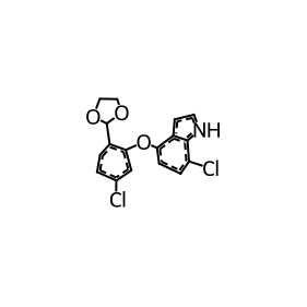 Clc1ccc(C2OCCO2)c(Oc2ccc(Cl)c3[nH]ccc23)c1